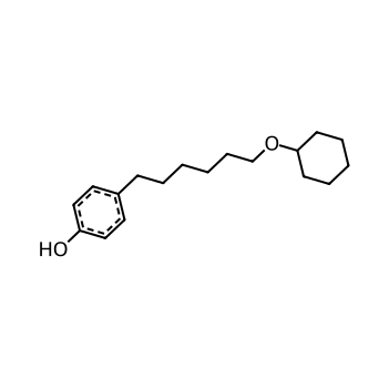 Oc1ccc(CCCCCCOC2CCCCC2)cc1